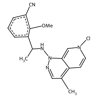 COc1c(C#N)cccc1C(C)NN1N=CC(C)=C2C=CN(Cl)C=C21